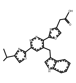 CC(C)c1coc(-c2cc(Cc3c[nH]c4ccccc34)c(-c3nc(CC(=O)O)co3)nn2)n1